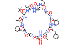 CC[C@H](C)[C@H]1C(=O)N[C@H](C(=O)N2CCCCC2)CC(=O)N(C)CC(=O)N(C)[C@@H](Cc2ccccc2)C(=O)N[C@@H](CCCc2ccccc2)C(=O)N(C)[C@@H](CC(C)C)C(=O)N[C@@H]([C@@H](C)O)C(=O)N(C)CC(=O)N(C)[C@@H](Cc2ccccc2)C(=O)N(C)[C@@H](CC(C)C)C(=O)N[C@@H](COC(C)(C)C)C(=O)N1C